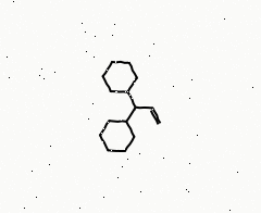 C=C[C](C1CCCCC1)C1CCCCC1